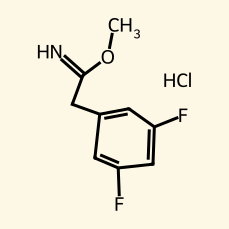 COC(=N)Cc1cc(F)cc(F)c1.Cl